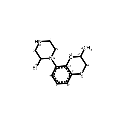 CCC1CNCCN1c1cccc2c1OC(C)CO2